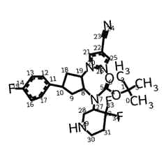 CC(C)(C)OC(=O)N(C1CC(c2ccc(F)cc2)CC1n1cc(C#N)cn1)C1CNCCC1(F)F